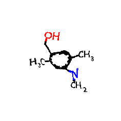 C=Nc1cc(C)c(CO)cc1C